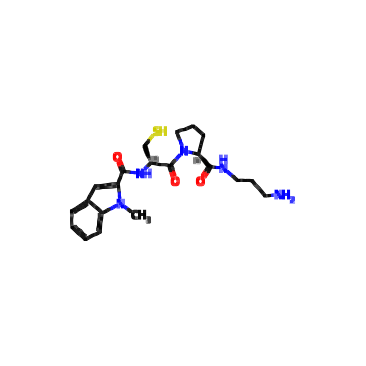 Cn1c(C(=O)N[C@@H](CS)C(=O)N2CCC[C@H]2C(=O)NCCCN)cc2ccccc21